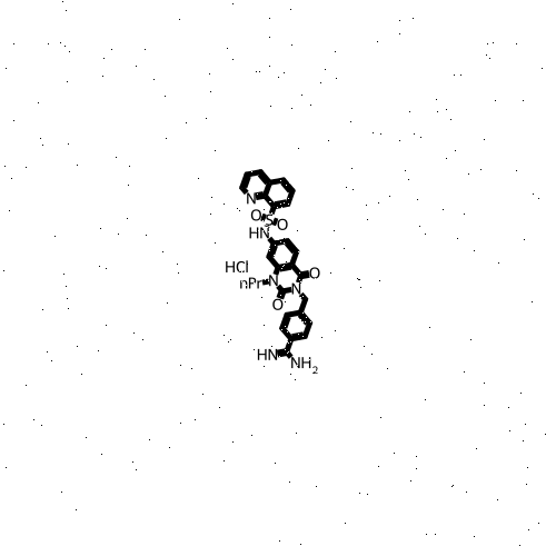 CCCn1c(=O)n(Cc2ccc(C(=N)N)cc2)c(=O)c2ccc(NS(=O)(=O)c3cccc4cccnc34)cc21.Cl